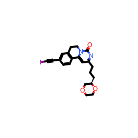 O=c1nc(CCC[C@@H]2COCCO2)cc2n1CCc1cc(C#CI)ccc1-2